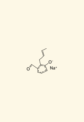 CC=CCc1c([O-])cccc1C=O.[Na+]